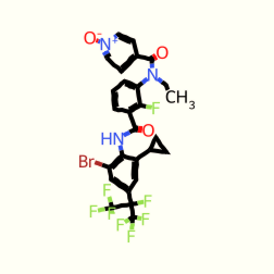 CCN(C(=O)c1cc[n+]([O-])cc1)c1cccc(C(=O)Nc2c(Br)cc(C(F)(C(F)(F)F)C(F)(F)F)cc2C2CC2)c1F